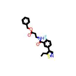 CCc1sncc1-c1ccc(F)c(C(=O)NCCC(=O)OCc2ccccc2)c1